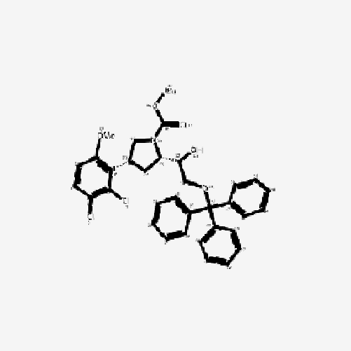 COc1ccc(Cl)c(Cl)c1[C@H]1C[C@@H](C(O)COC(c2ccccc2)(c2ccccc2)c2ccccc2)N(C(=O)OC(C)(C)C)C1